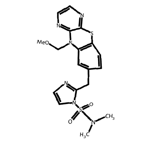 COCN1c2cc(Cc3nccn3S(=O)(=O)N(C)C)ccc2Sc2nccnc21